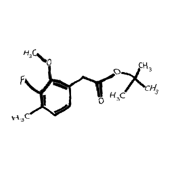 COc1c(CC(=O)OC(C)(C)C)ccc(C)c1F